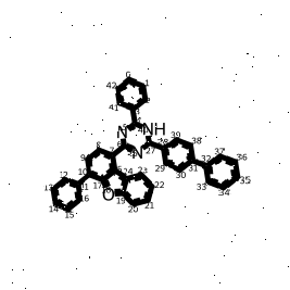 c1ccc(C2=NC(c3ccc(-c4ccccc4)c4oc5ccccc5c34)=NC(c3ccc(-c4ccccc4)cc3)N2)cc1